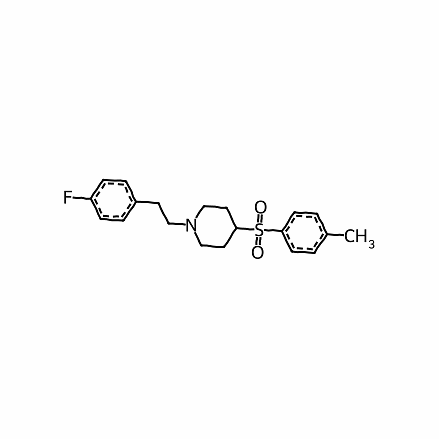 Cc1ccc(S(=O)(=O)C2CCN(CCc3ccc(F)cc3)CC2)cc1